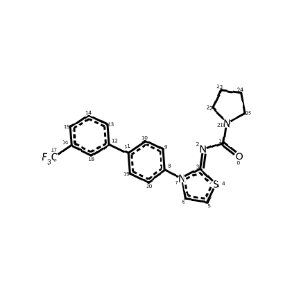 O=C(/N=c1\sccn1-c1ccc(-c2cccc(C(F)(F)F)c2)cc1)N1CCCC1